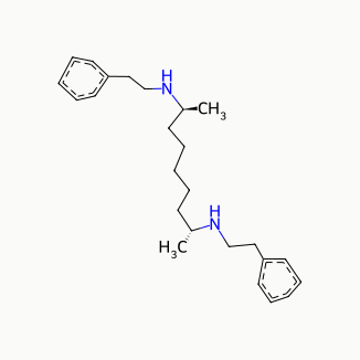 C[C@H](CCCCC[C@H](C)NCCc1ccccc1)NCCc1ccccc1